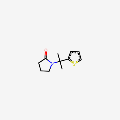 CC(C)(c1cccs1)N1CCCC1=O